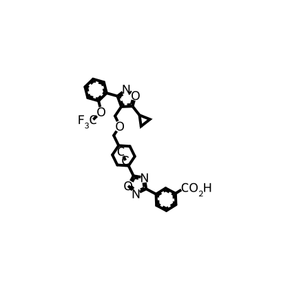 O=C(O)c1cccc(-c2noc(C34CCC(COCc5c(-c6ccccc6OC(F)(F)F)noc5C5CC5)(CC3)CC4)n2)c1